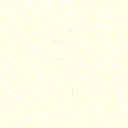 CNc1cc(OCC2CC2)ccc1F